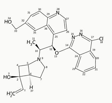 C=C[C@]1(O)CC2[C@H]1CCN2[C@@H](C)[C@H](Oc1nnc(Cl)c2ccccc12)c1ccnc2ccc(CO)cc12